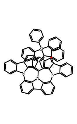 c1ccc(-c2cccc(-n3c4c(-n5c6ccccc6c6ccccc65)cccc4c4cccc(-n5c6ccccc6c6cc([Si](c7ccccc7)(c7ccccc7)c7ccccc7)ccc65)c43)c2)cc1